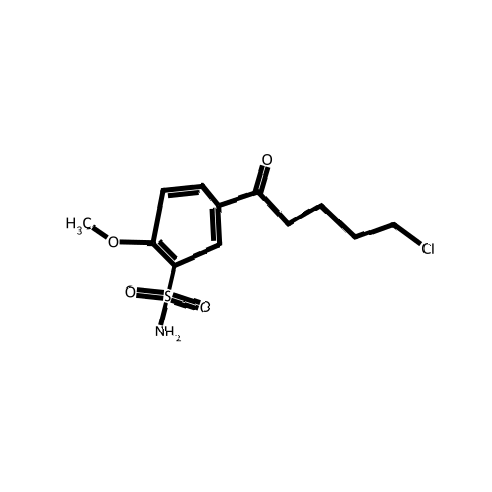 COc1ccc(C(=O)CCCCCl)cc1S(N)(=O)=O